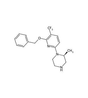 C[C@H]1CNCCN1c1ccc(C(F)(F)F)c(OCc2ccccc2)n1